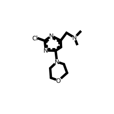 CN(C)Cc1cc(N2CCOCC2)nc(Cl)n1